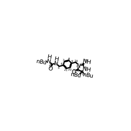 CCCCNC(=O)NCc1ccc(CN2C(=N)NC(CCCC)(CCCC)C2=O)cc1